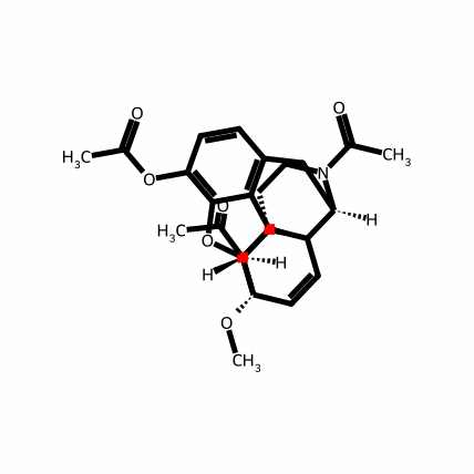 CO[C@@]12C=C[C@]3(C[C@H]1C(C)=O)[C@H]1Cc4ccc(OC(C)=O)c5c4[C@]3(CCN1C(C)=O)[C@@H]2O5